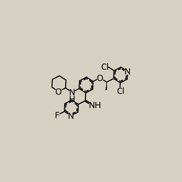 C[C@@H](Oc1ccc(NC2CCCCO2)c(C(=N)c2ccc(F)nc2)c1)c1c(Cl)cncc1Cl